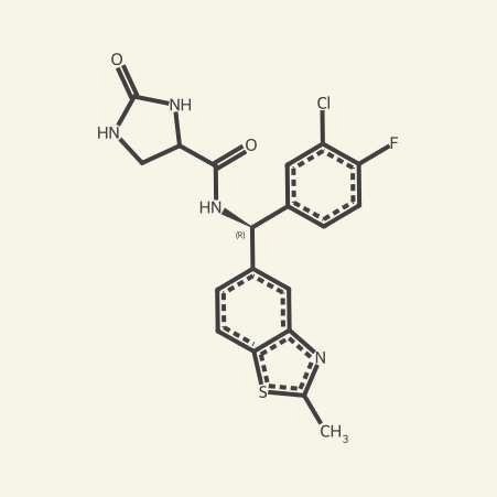 Cc1nc2cc([C@@H](NC(=O)C3CNC(=O)N3)c3ccc(F)c(Cl)c3)ccc2s1